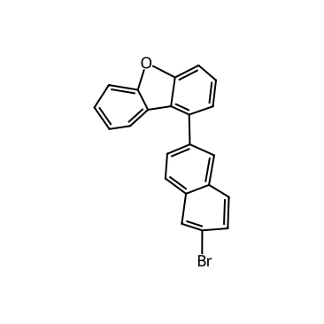 Brc1ccc2cc(-c3cccc4oc5ccccc5c34)ccc2c1